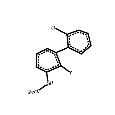 CCCC(C)Nc1cccc(-c2ccccc2Cl)c1F